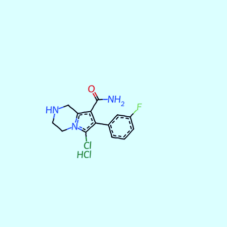 Cl.NC(=O)c1c(-c2cccc(F)c2)c(Cl)n2c1CNCC2